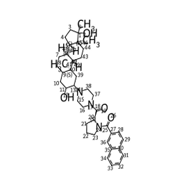 CC1(O)CC[C@H]2[C@@H]3CCC4CC(O)C(N5CCN(C(=O)[C@@H]6CCCN6C(=O)c6ccc7ccccc7c6)CC5)C[C@]4(C)[C@@H]3CC[C@@]21C